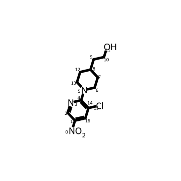 O=[N+]([O-])c1cnc(N2CCC(CCO)CC2)c(Cl)c1